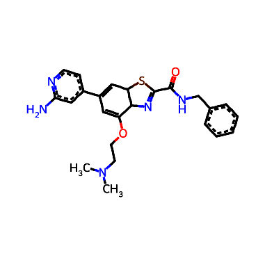 CN(C)CCOC1=CC(c2ccnc(N)c2)=CC2SC(C(=O)NCc3ccccc3)=NC12